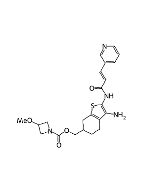 COC1CN(C(=O)OCC2CCc3c(sc(NC(=O)/C=C/c4cccnc4)c3N)C2)C1